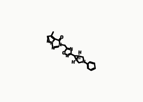 Cc1cnn2ncn(Cc3nc(C4[C@H]5CN(c6ccccc6)C[C@@H]45)no3)c(=O)c12